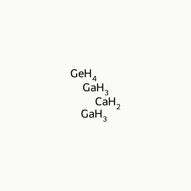 [CaH2].[GaH3].[GaH3].[GeH4]